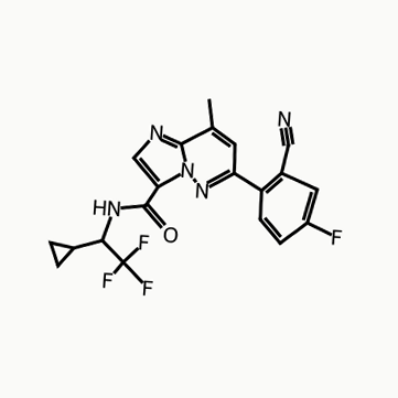 Cc1cc(-c2ccc(F)cc2C#N)nn2c(C(=O)NC(C3CC3)C(F)(F)F)cnc12